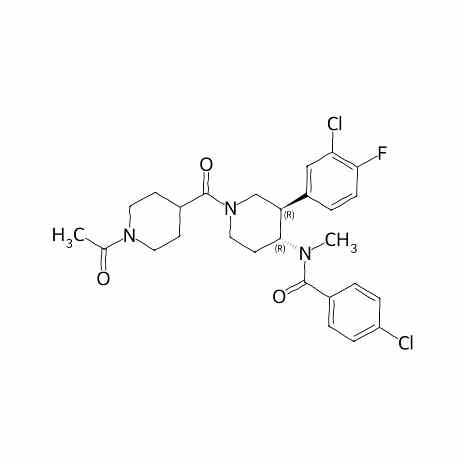 CC(=O)N1CCC(C(=O)N2CC[C@@H](N(C)C(=O)c3ccc(Cl)cc3)[C@H](c3ccc(F)c(Cl)c3)C2)CC1